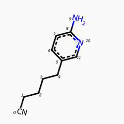 N#CCCCCc1ccc(N)nc1